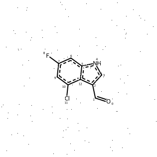 O=Cc1c[nH]c2cc(F)cc(Cl)c12